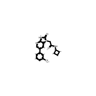 O=C(Cn1c(=O)[nH]c2ncc(-c3cccc(C(F)(F)F)c3)cc21)NC1CCC1